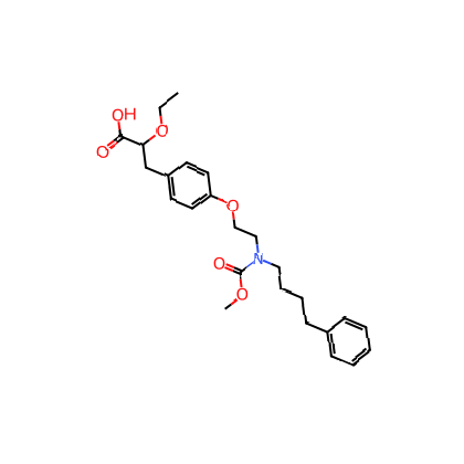 CCOC(Cc1ccc(OCCN(CCCCc2ccccc2)C(=O)OC)cc1)C(=O)O